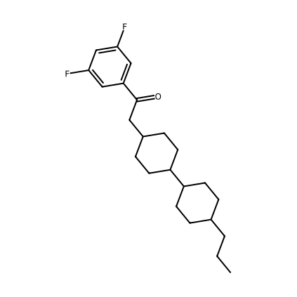 CCCC1CCC(C2CCC(CC(=O)c3cc(F)cc(F)c3)CC2)CC1